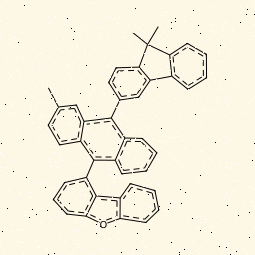 Cc1ccc2c(-c3cccc4oc5ccccc5c34)c3ccccc3c(-c3ccc4c(c3)-c3ccccc3C4(C)C)c2c1